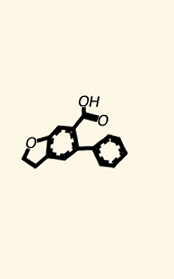 O=C(O)c1cc2c(cc1-c1ccccc1)CCO2